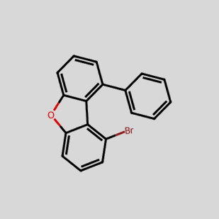 Brc1cccc2oc3cccc(-c4ccccc4)c3c12